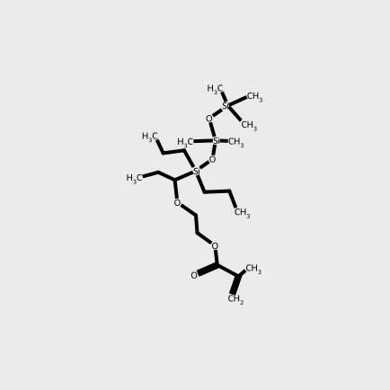 C=C(C)C(=O)OCCOC(CC)[Si](CCC)(CCC)O[Si](C)(C)O[Si](C)(C)C